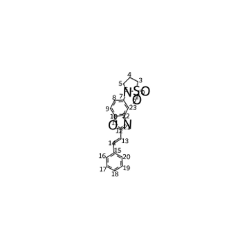 O=S1(=O)CCCN1c1ccc2oc(/C=C/c3ccccc3)nc2c1